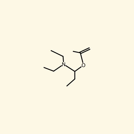 C=C(C)OC(CC)N(CC)CC